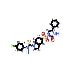 O=C1NC(c2ccccc2)CN1S(=O)(=O)c1ccc2c(c1)CCN2C(=S)Nc1ccc(F)cc1